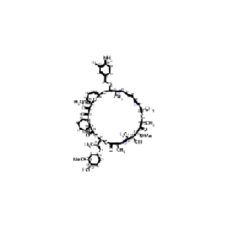 CO[C@@H]1C[C@H](C[C@@H](C)[C@@H]2CC(=O)[C@H](C)/C=C(\C)[C@@H](O)[C@@H](OC)C(=O)[C@H](C)C[C@H](C)/C=C/C=C/C=C(\C)C(OCc3ccc(N)c(I)c3)C[C@@H]3CC[C@@H](C)[C@@](O)(O3)C(=O)C(=O)N3CCCC[C@H]3C(=O)O2)CC[C@H]1O